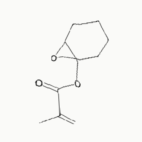 C=C(C)C(=O)OC12CCCCC1O2